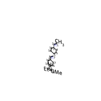 C/C=C/[C@H]1CC[C@H](/C=C/C2CCC([SiH](CC)OC)CC2)CC1